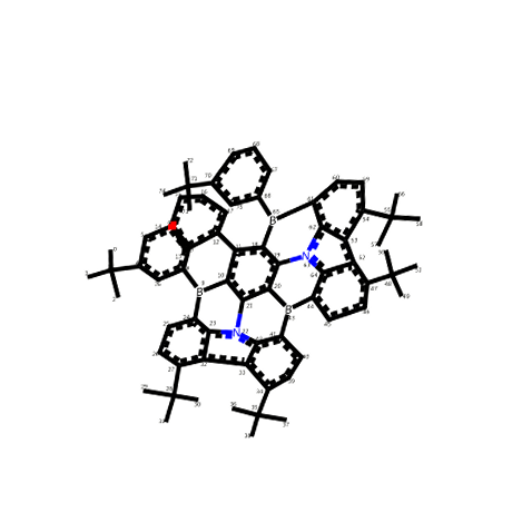 CC(C)(C)c1cccc(B2c3c(-c4ccccc4)c4c5c6c3-n3c7c2ccc(C(C)(C)C)c7c2c(C(C)(C)C)ccc(c23)B6c2ccc(C(C)(C)C)c3c6c(C(C)(C)C)ccc(c6n-5c23)B4c2cccc(C(C)(C)C)c2)c1